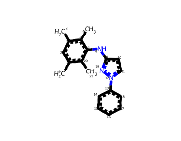 Cc1[c]c(C)c(C)c(Nc2ccn(-c3ccccc3)n2)c1C